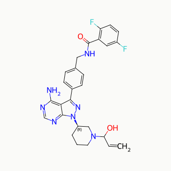 C=CC(O)N1CCC[C@@H](n2nc(-c3ccc(CNC(=O)c4cc(F)ccc4F)cc3)c3c(N)ncnc32)C1